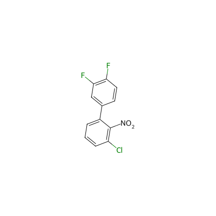 O=[N+]([O-])c1c(Cl)cccc1-c1ccc(F)c(F)c1